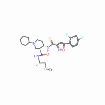 CCOC[C@H](C)NC(=O)[C@H]1CN(C2CCCCC2)CC[C@@H]1NC(=O)c1cc(-c2ccc(F)cc2F)on1